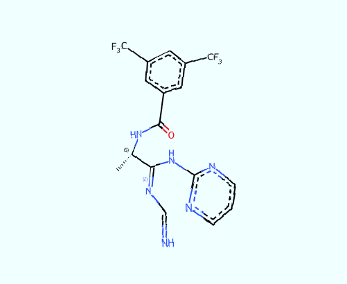 C[C@H](NC(=O)c1cc(C(F)(F)F)cc(C(F)(F)F)c1)/C(=N/C=N)Nc1ncccn1